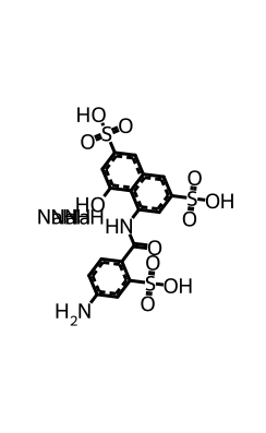 Nc1ccc(C(=O)Nc2cc(S(=O)(=O)O)cc3cc(S(=O)(=O)O)cc(O)c23)c(S(=O)(=O)O)c1.[NaH].[NaH].[NaH]